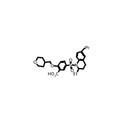 CCC1CCc2cc(C(C)C)ccc2N1S(=O)(=O)c1ccc(OCC2CCOCC2)c(C(=O)O)c1